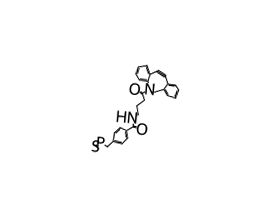 O=C(NCCCC(=O)N1Cc2ccccc2C#Cc2ccccc21)c1ccc(CP=S)cc1